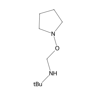 CC(C)(C)NCON1CCCC1